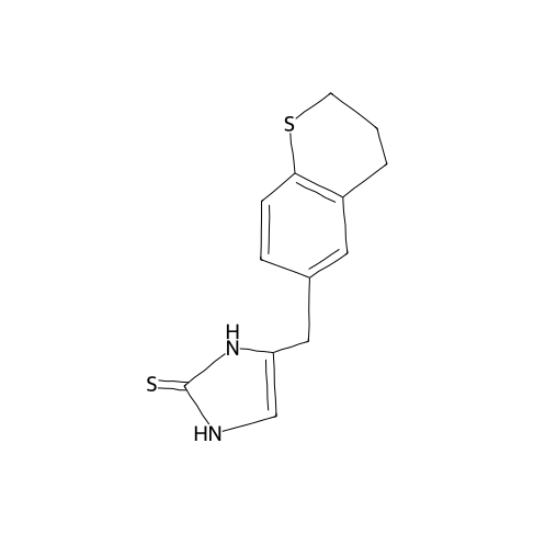 S=c1[nH]cc(Cc2ccc3c(c2)CCCS3)[nH]1